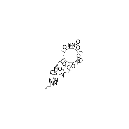 C=CCn1nnc(-c2ccc(C#CCO[C@@]3(C)C[C@@H](C)C(=O)[C@H](C)[C@H]4NC(=O)O[C@]4(C)[C@@H](CC)OC(=O)[C@@](C)(F)C(=O)[C@H](C)[C@H]3O[C@@H]3O[C@H](C)C[C@H](N(C)C)[C@H]3O)s2)n1